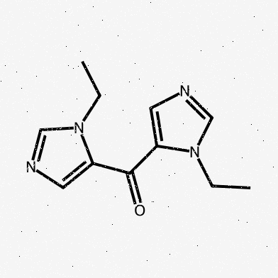 CCn1cncc1C(=O)c1cncn1CC